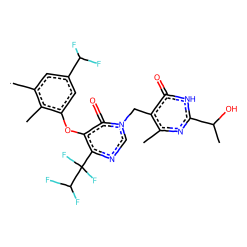 [CH2]c1cc(C(F)F)cc(Oc2c(C(F)(F)C(F)F)ncn(Cc3c(C)nc(C(C)O)[nH]c3=O)c2=O)c1C